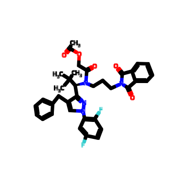 CC(=O)OCC(=O)N(CCCN1C(=O)c2ccccc2C1=O)[C@@H](c1nn(-c2cc(F)ccc2F)cc1Cc1ccccc1)C(C)(C)C